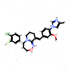 COc1cc(/C=C2\CCCN3C2=NOCC[C@@H]3c2ccc(Cl)c(F)c2)ccc1-n1cnc(C)c1